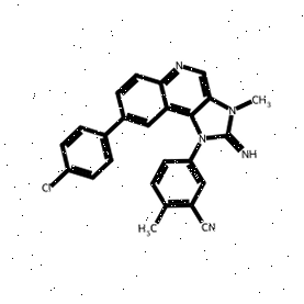 Cc1ccc(-n2c(=N)n(C)c3cnc4ccc(-c5ccc(Cl)cc5)cc4c32)cc1C#N